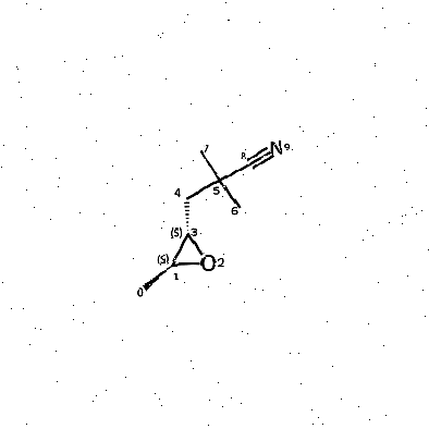 C[C@@H]1O[C@H]1CC(C)(C)C#N